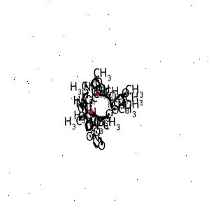 CC[C@H]1OC(=O)[C@H](C)[C@@H](O[C@H]2C[C@@](C)(OC)[C@@H](O)[C@H](C)O2)[C@H](C)[C@@H](O[C@@H]2O[C@H](C)C[C@H](N(C)CCc3cn([C@H](CF)[C@H](OC)c4ccc(S(=O)(=O)N5CCOCC5)cc4)nn3)[C@H]2O)[C@](C)(O)C[C@@H](C)CN(C)[C@H](C)[C@@H](O)[C@]1(C)O